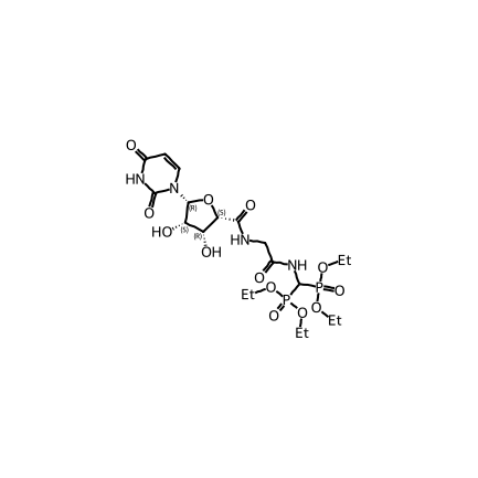 CCOP(=O)(OCC)C(NC(=O)CNC(=O)[C@H]1O[C@@H](n2ccc(=O)[nH]c2=O)[C@@H](O)[C@H]1O)P(=O)(OCC)OCC